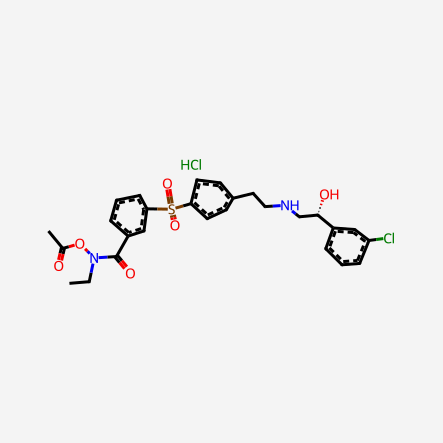 CCN(OC(C)=O)C(=O)c1cccc(S(=O)(=O)c2ccc(CCNC[C@H](O)c3cccc(Cl)c3)cc2)c1.Cl